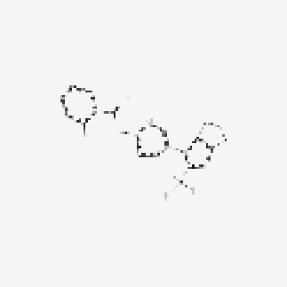 O=C(Nc1ccc(-c2c(C(F)(F)F)oc3c2CCC3)cn1)c1ccccc1F